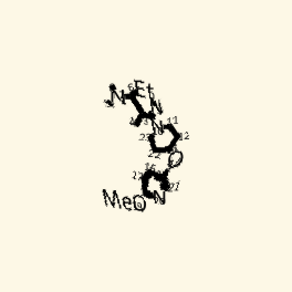 CC/N=C(\C(C)=C(/C)N(C)C)N1CCC(Oc2ccc(OC)nc2)CC1